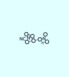 CC1(C)c2ccccc2N(c2ccccc2)c2ccc(-c3ccc(-c4cccc(C#N)c4-n4c5ccccc5c5ccccc54)cc3)cc21